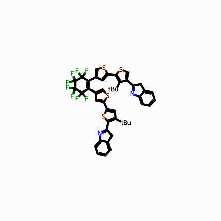 CC(C)(C)c1cc(-c2cc(C3=C(c4csc(-c5scc(C6=Nc7ccccc7C6)c5C(C)(C)C)c4)C(F)(F)C(F)(F)C(F)(F)C3(F)F)cs2)sc1C1=Nc2ccccc2C1